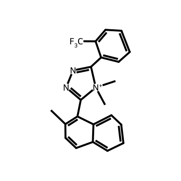 Cc1ccc2ccccc2c1C1=NN=C(c2ccccc2C(F)(F)F)[N+]1(C)C